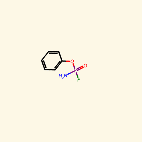 NP(=O)(F)Oc1ccccc1